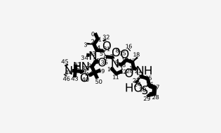 CC[C@H](C)[C@@H]([C@@H](CC(=O)N1CCC[C@H]1[C@H](OC)[C@@H](C)C(=O)N[C@H](CO)Cc1cccs1)OC)N(C)C(=O)[C@@H](NC(=O)C(C)(C)N(C)C)C(C)(C)C